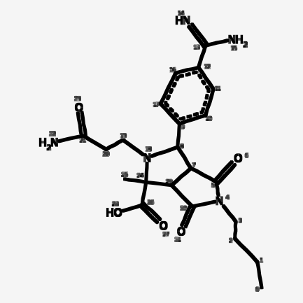 CCCCN1C(=O)C2C(c3ccc(C(=N)N)cc3)N(CCC(N)=O)C(C)(C(=O)O)C2C1=O